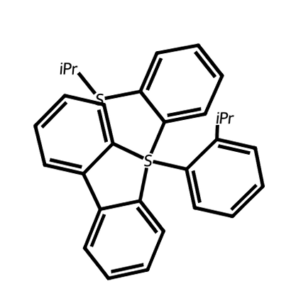 CC(C)Sc1ccccc1S1(c2ccccc2C(C)C)c2ccccc2-c2ccccc21